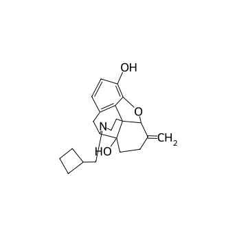 C=C1CCC2(O)C3Cc4ccc(O)c5c4C2(CCN3CC2CCC2)C1O5